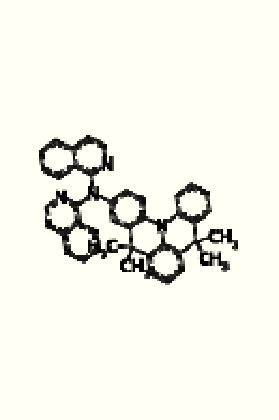 CC1(C)c2ccccc2N2c3ccc(N(c4nccc5ccccc45)c4nccc5ccccc45)cc3C(C)(C)c3cccc1c32